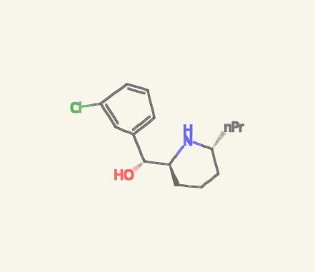 CCC[C@@H]1CCC[C@@H]([C@H](O)c2cccc(Cl)c2)N1